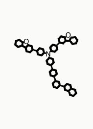 c1cc(-c2ccc(-c3ccc(N(c4ccc(-c5ccc6c(c5)oc5ccccc56)cc4)c4ccc(-c5ccc6oc7ccccc7c6c5)cc4)cc3)cc2)cc(-c2ccc3ccccc3c2)c1